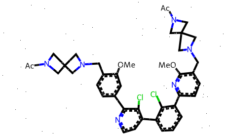 COc1cc(-c2nccc(-c3cccc(-c4ccc(CN5CC6(C5)CN(C(C)=O)C6)c(OC)n4)c3Cl)c2Cl)ccc1CN1CC2(C1)CN(C(C)=O)C2